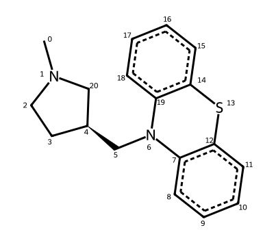 CN1CC[C@H](CN2c3ccccc3Sc3ccccc32)C1